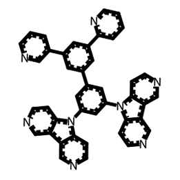 c1ccc(-c2cc(-c3cccnc3)cc(-c3cc(-n4c5ccncc5c5cnccc54)cc(-n4c5ccncc5c5cnccc54)c3)c2)nc1